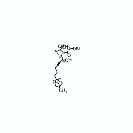 CC12COC(CCCC#C[C@@H](O)[C@@H]3CSC(C)(C)N3C(=O)OC(C)(C)C)(OC1)OC2